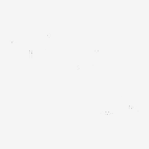 CCCCCCCCNC(=O)C=CSC(=O)c1ccc([N+](=O)[O-])c(OC)c1